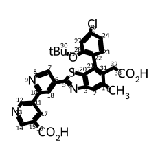 Cc1cc2nc(-c3ccnc(-c4cncc(C(=O)O)c4)c3)sc2c(-c2ccc(Cl)cc2OC(C)(C)C)c1CC(=O)O